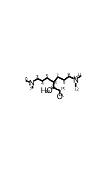 CN(C)CCCC(CCCN(C)C)C(O)C[O]